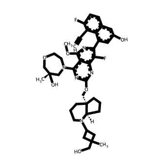 C#Cc1c(F)ccc2cc(O)cc(-c3nc(OC)c4c(N5CCOC[C@@](C)(O)C5)nc(OC[C@]56CCC[C@H]5N(C5CC(C)(CO)C5)CCC6)nc4c3F)c12